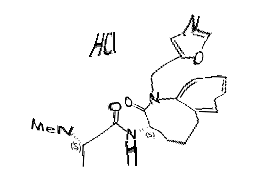 CN[C@@H](C)C(=O)N[C@H]1CCc2ccccc2N(Cc2cnco2)C1=O.Cl